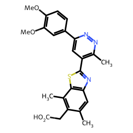 COc1ccc(-c2cc(-c3nc4cc(C)c(CC(=O)O)c(C)c4s3)c(C)nn2)cc1OC